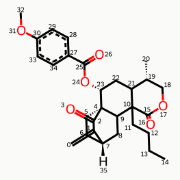 C=C1C(=O)[C@]23CC[C@H]1CC2C1(CCCC)C(=O)OC[C@@H](C)C1C[C@H]3OC(=O)c1ccc(OC)cc1